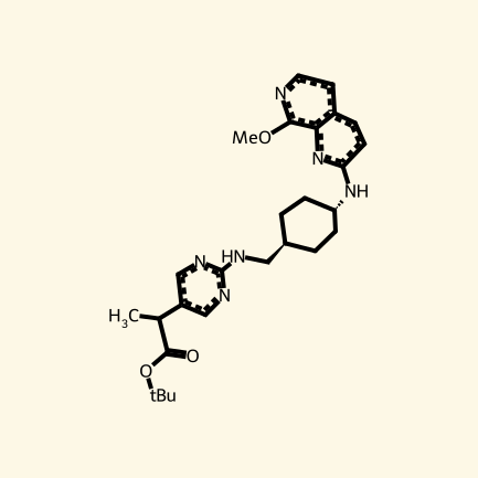 COc1nccc2ccc(N[C@H]3CC[C@H](CNc4ncc(C(C)C(=O)OC(C)(C)C)cn4)CC3)nc12